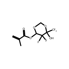 C=C(C)C(=O)OC1OCOC(O)(C(F)(F)F)C1(F)F